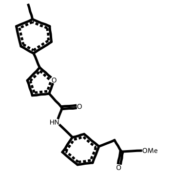 COC(=O)Cc1cccc(NC(=O)c2ccc(-c3ccc(C)cc3)o2)c1